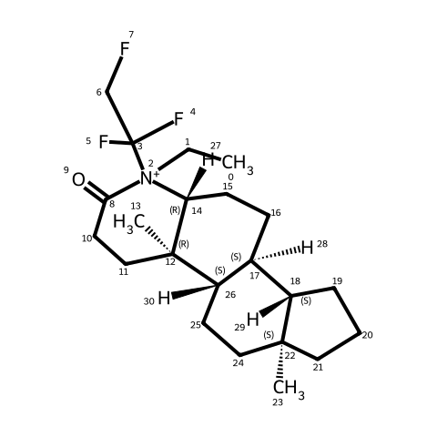 CC[N+]1(C(F)(F)CF)C(=O)CC[C@@]2(C)[C@H]1CC[C@H]1[C@@H]3CCC[C@@]3(C)CC[C@@H]12